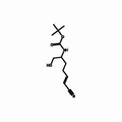 CC(C)(C)OC(=O)NC(CO)CCC=CC#N